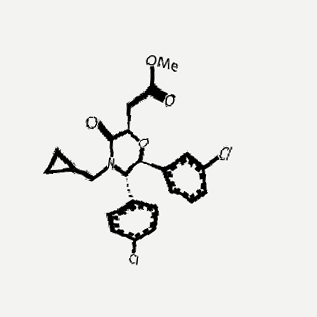 COC(=O)C[C@H]1O[C@@H](c2cccc(Cl)c2)[C@H](c2ccc(Cl)cc2)N(CC2CC2)C1=O